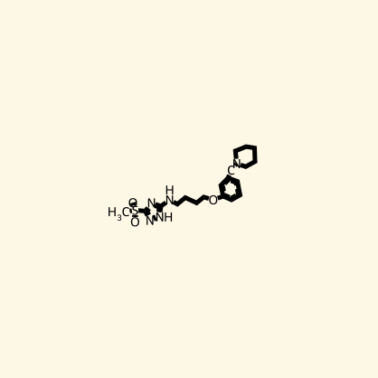 CS(=O)(=O)c1n[nH]c(NCCCCOc2cccc(CN3CCCCC3)c2)n1